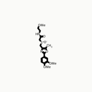 COCCNC(=O)C[S+]([O-])Cc1nc(-c2ccc(OC)c(OC)c2)oc1C